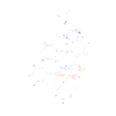 O=C(NS(=O)(=O)c1ccccc1)c1ccc2nc(C3CC3)n(Cc3ccc(-c4ccccc4)cc3)c2c1